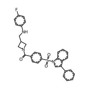 O=C(c1ccc(S(=O)(=O)n2cc(-c3ccccc3)c3ccccc32)cc1)N1CC(CNc2ccc(F)cc2)C1